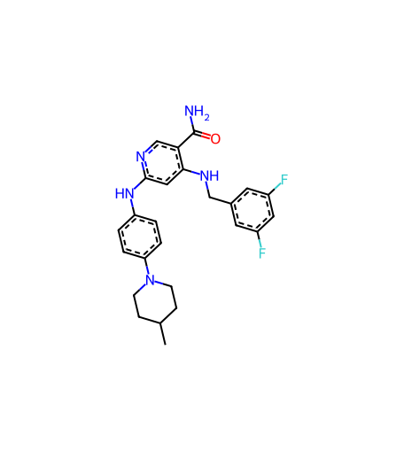 CC1CCN(c2ccc(Nc3cc(NCc4cc(F)cc(F)c4)c(C(N)=O)cn3)cc2)CC1